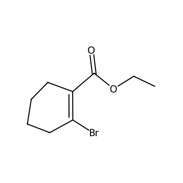 CCOC(=O)C1=C(Br)CCCC1